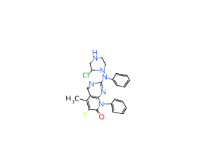 Cc1c(F)c(=O)n(-c2ccccc2)c2nc(N(c3ccccc3)N3CCNCC3Cl)ncc12